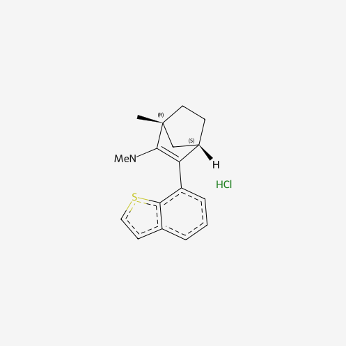 CNC1=C(c2cccc3ccsc23)[C@H]2CC[C@]1(C)C2.Cl